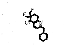 O=C1c2ccc(CC3CCCCC3)nc2CCC1(CF)CF